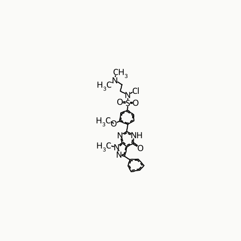 COc1cc(S(=O)(=O)N(Cl)CCN(C)C)ccc1-c1nc2c(c(-c3ccccc3)nn2C)c(=O)[nH]1